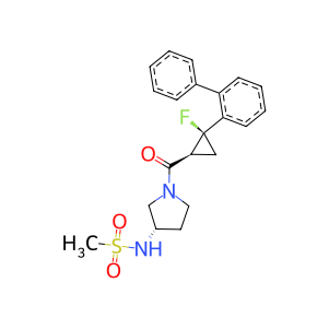 CS(=O)(=O)N[C@H]1CCN(C(=O)[C@@H]2C[C@@]2(F)c2ccccc2-c2ccccc2)C1